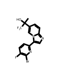 CC(O)(c1ccc2ncc(-c3ccc(F)c(Br)n3)n2c1)C(F)(F)F